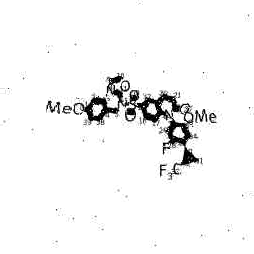 COc1ccc(CN(c2ncco2)S(=O)(=O)c2ccc3c(ccc(=O)n3-c3cc(F)c([C@@H]4C[C@H]4C(F)(F)F)cc3OC)c2)cc1